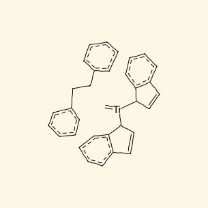 [CH2]=[Ti]([CH]1C=Cc2ccccc21)[CH]1C=Cc2ccccc21.c1ccc(CCc2ccccc2)cc1